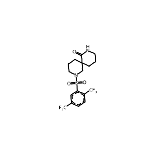 O=C1NCCCC12CCCN(S(=O)(=O)c1cc(C(F)(F)F)ccc1C(F)(F)F)C2